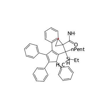 CCCCCC(C1=C(c2ccccc2)C(c2ccccc2)=C(c2ccccc2)C1c1ccccc1)([SiH](C)CC)C1(C([NH])=O)CC1